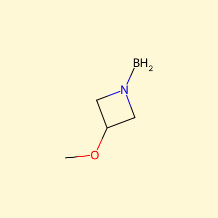 BN1CC(OC)C1